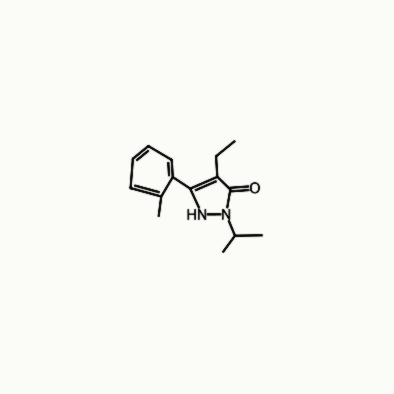 CCc1c(-c2ccccc2C)[nH]n(C(C)C)c1=O